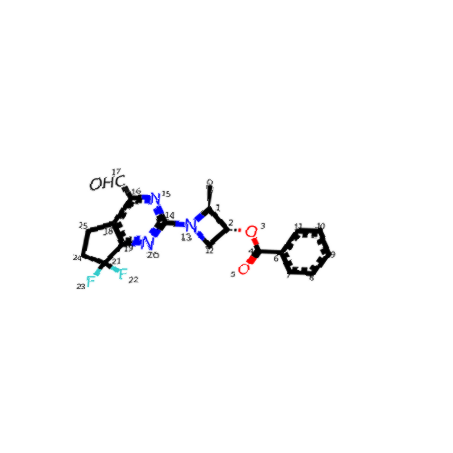 C[C@H]1[C@H](OC(=O)c2ccccc2)CN1c1nc(C=O)c2c(n1)C(F)(F)CC2